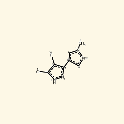 Cn1cc(-c2n[nH]c(Cl)c2F)cn1